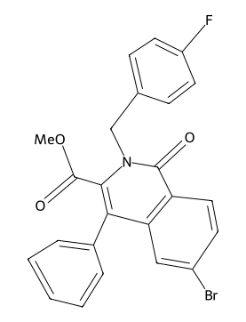 COC(=O)c1c(-c2ccccc2)c2cc(Br)ccc2c(=O)n1Cc1ccc(F)cc1